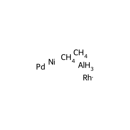 C.C.[AlH3].[Ni].[Pd].[Rh]